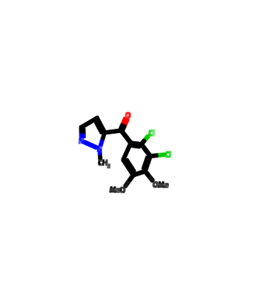 COc1cc(C(=O)c2ccnn2C)c(Cl)c(Cl)c1OC